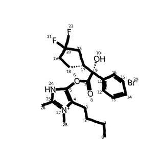 CCCCc1c(OC(=O)[C@](O)(c2ccccc2)[C@@H]2CCC(F)(F)C2)[nH]c(C)[n+]1C.[Br-]